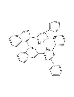 c1ccc(-c2nc(-c3ccccc3)nc(-c3cc(-c4c(-c5cc6c(cn5)oc5ccccc56)ccc5ccccc45)c4ccccc4c3)n2)cc1